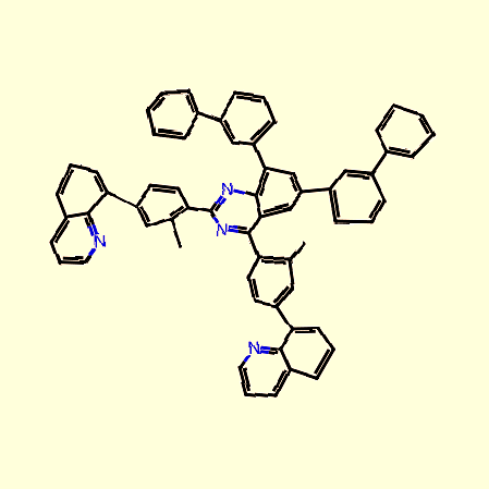 Cc1cc(-c2cccc3cccnc23)ccc1-c1nc(-c2ccc(-c3cccc4cccnc34)cc2C)c2cc(-c3cccc(-c4ccccc4)c3)cc(-c3cccc(-c4ccccc4)c3)c2n1